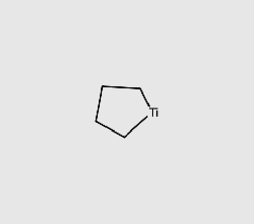 C1C[CH2][Ti][CH2]1